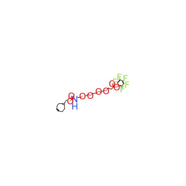 O=C(CCOCCOCCOCCOCCNC(=O)OCC1C2CCC#CCCC21)Oc1c(F)c(F)c(F)c(F)c1F